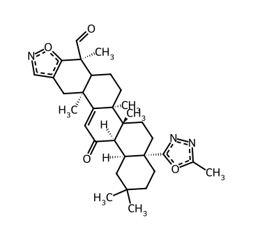 Cc1nnc([C@]23CCC(C)(C)C[C@H]2[C@H]2C(=O)C=C4[C@@]5(C)Cc6cnoc6[C@@](C)(C=O)C5CC[C@@]4(C)[C@]2(C)CC3)o1